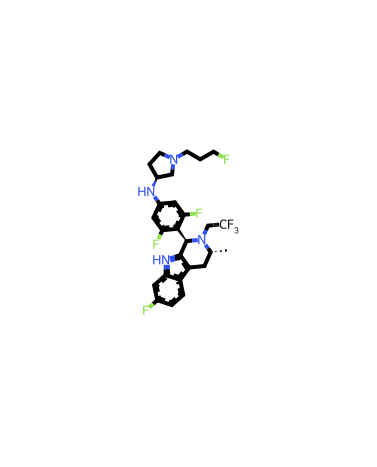 C[C@@H]1Cc2c([nH]c3cc(F)ccc23)[C@@H](c2c(F)cc(N[C@H]3CCN(CCCF)C3)cc2F)N1CC(F)(F)F